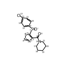 O=C(c1nnsc1[S+]([O-])c1ccc(Cl)cc1)N1CCCCC1